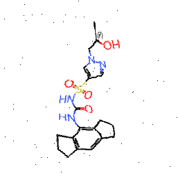 C[C@@H](O)Cn1cc(S(=O)(=O)NC(=O)Nc2c3c(cc4c2CCC4)CCC3)cn1